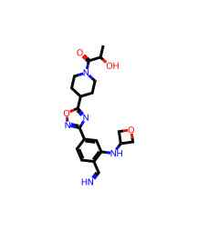 CC(O)C(=O)N1CCC(c2nc(-c3ccc(C=N)c(NC4COC4)c3)no2)CC1